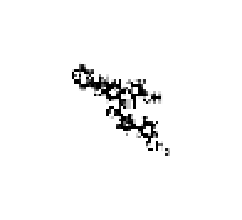 Cc1cc(-c2ccc(C(=O)Nc3cc4oc(N5CCOCC5)nc4nc3N3CC[C@H](O)C3)s2)ccn1